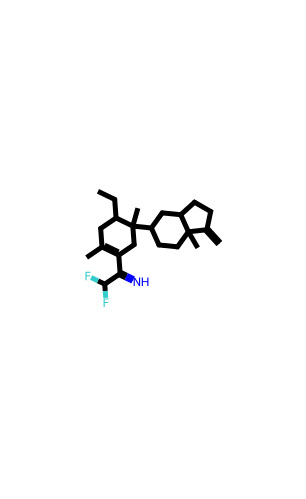 C=C1CCC2CC(C3(C)CC(C(=N)C(F)F)=C(C)CC3CC)CCC12C